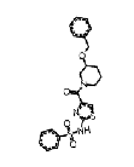 O=C(c1csc(NS(=O)(=O)c2ccccc2)n1)N1CCCC(OCc2ccccc2)C1